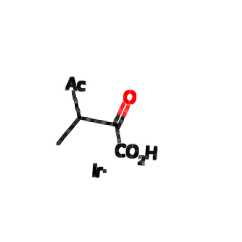 CC(=O)C(C)C(=O)C(=O)O.[Ir]